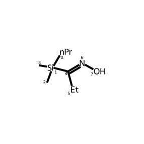 CCC[Si](C)(C)C(CC)=NO